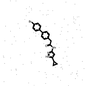 O=C(Cc1ccc(-c2ccc(Br)cc2)cc1)Nc1cc(C2CC2)[nH]n1